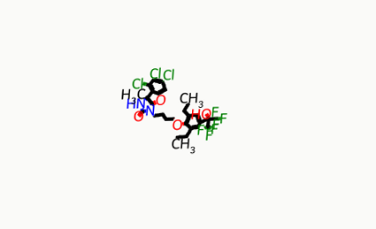 CCCc1cc(C(O)(C(F)(F)F)C(F)(F)F)cc(CCC)c1OCCCCN1C(=O)NC(C)(c2ccc(Cl)c(Cl)c2Cl)C1=O